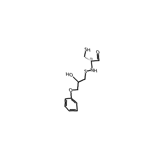 O=C[C@@H](CS)NSCC(O)COc1ccccc1